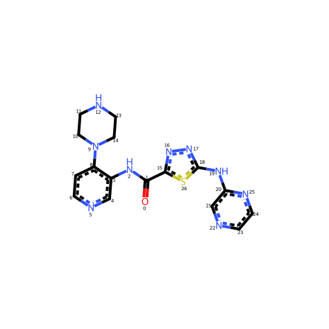 O=C(Nc1cnccc1N1CCNCC1)c1nnc(Nc2cnccn2)s1